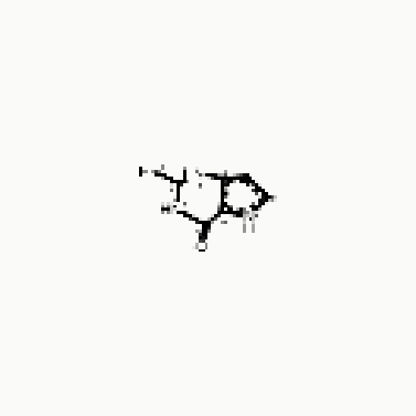 O=C1NC(S)Nc2cc[nH]c21